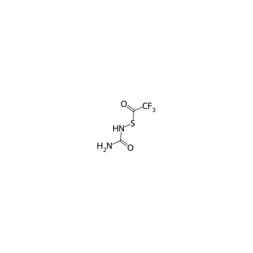 NC(=O)NSC(=O)C(F)(F)F